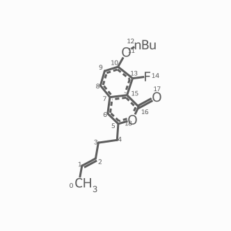 C/C=C/CCc1cc2ccc(OCCCC)c(F)c2c(=O)o1